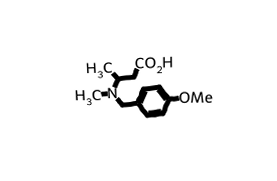 COc1ccc(CN(C)C(C)CC(=O)O)cc1